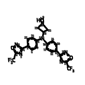 Cl.FC(F)(F)c1nc(-c2ccc(N(c3ccc(-c4noc(C(F)(F)F)n4)cc3)C3CNC3)cc2)no1